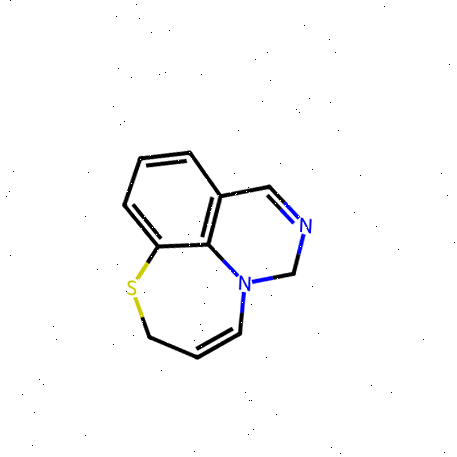 C1=CN2CN=Cc3cccc(c32)SC1